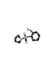 O=S(=O)(c1ccccc1Br)n1cccc1